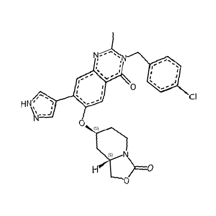 Cc1nc2cc(-c3cn[nH]c3)c(O[C@H]3CCN4C(=O)OC[C@@H]4C3)cc2c(=O)n1Cc1ccc(Cl)cc1